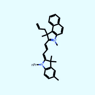 C=CCC1(C)C(/C=C/C=C2/N(CCC)c3ccc(C)cc3C2(C)C)=[N+](C)c2ccc3ccccc3c21